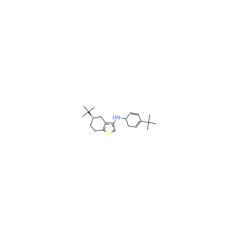 CC(C)(C)C1=CCC(Nc2csc3c2C[C@H](C(C)(C)C)CC3)C=C1